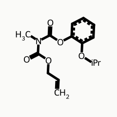 C=CCOC(=O)N(C)C(=O)Oc1ccccc1OC(C)C